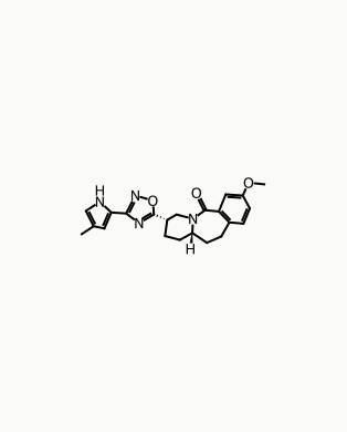 COc1ccc2c(c1)C(=O)N1C[C@@H](c3nc(-c4cc(C)c[nH]4)no3)CC[C@H]1CC2